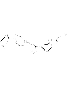 CSCC(=O)Nc1cccc(C(O)CCCN2CCN(c3ccccn3)CC2)c1